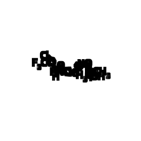 C[Si](C)(O)CNC(=O)c1cc(Oc2ccc(NC(=O)Nc3ccc(Cl)c(C(F)(F)F)c3)cc2)ccn1